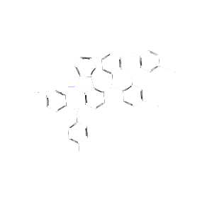 Cn1c2ccccc2c2c(N3c4ccc(C(C)(C)C)cc4B4c5cc(C(C)(C)C)ccc5Oc5cccc3c54)ccc(N(c3ccc(C(C)(C)C)cc3)c3ccc(C(C)(C)C)cc3)c21